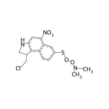 CN(C)OOSc1ccc2c3c(cc([N+](=O)[O-])c2c1)NCC3CCl